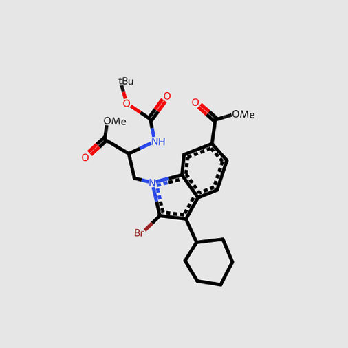 COC(=O)c1ccc2c(C3CCCCC3)c(Br)n(CC(NC(=O)OC(C)(C)C)C(=O)OC)c2c1